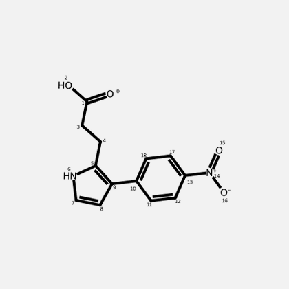 O=C(O)CCc1[nH]ccc1-c1ccc([N+](=O)[O-])cc1